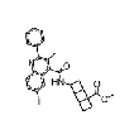 COC(=O)C12C3C4C1C1C2C3C41NC(=O)c1c(C)c(-c2ccccc2)nc2ccc(I)cc12